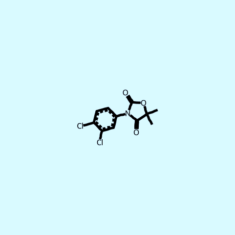 CC1(C)OC(=O)N(c2ccc(Cl)c(Cl)c2)C1=O